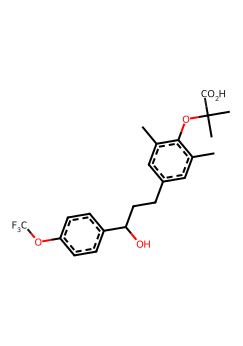 Cc1cc(CCC(O)c2ccc(OC(F)(F)F)cc2)cc(C)c1OC(C)(C)C(=O)O